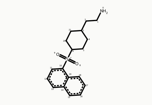 NCCC1CCC(S(=O)(=O)c2cccc3ccccc23)CC1